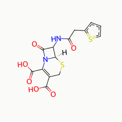 O=C(Cc1cccs1)NC1C(=O)N2C(C(=O)O)=C(C(=O)O)CS[C@H]12